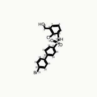 O=S(=O)(Nc1cccc(CO)c1Cl)c1ccc(-c2ccc(Br)cc2)cc1